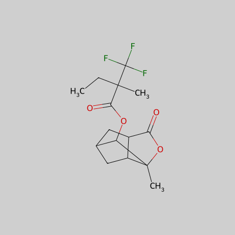 CCC(C)(C(=O)OC1C2CC3C(=O)OC1(C)C3C2)C(F)(F)F